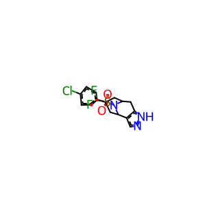 O=S(=O)(c1ccc(Cl)cc1)N1C2Cc3[nH]ncc3C1CC(C(F)F)C2